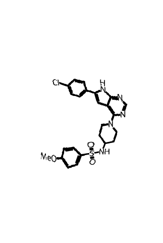 COc1ccc(S(=O)(=O)NC2CCN(c3ncnc4[nH]c(-c5ccc(Cl)cc5)cc34)CC2)cc1